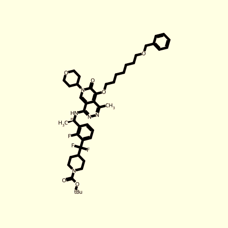 Cc1nnc(N[C@H](C)c2cccc(C(F)(F)C3CCN(C(=O)OC(C)(C)C)CC3)c2F)c2cn(C3CCOCC3)c(=O)c(OCCCCCCCOCc3ccccc3)c12